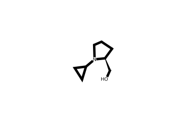 OC[C@@H]1CCCN1C1CC1